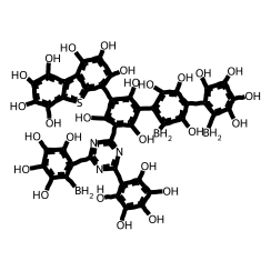 Bc1c(O)c(O)c(O)c(O)c1-c1nc(-c2c(O)c(O)c(O)c(O)c2O)nc(-c2c(O)c(-c3c(B)c(O)c(-c4c(B)c(O)c(O)c(O)c4O)c(O)c3O)c(O)c(-c3c(O)c(O)c(O)c4c3sc3c(O)c(O)c(O)c(O)c34)c2O)n1